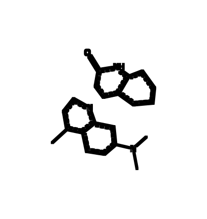 Cc1ccnc2cc(N(C)C)ccc12.O=c1ccc2ccccc2[nH]1